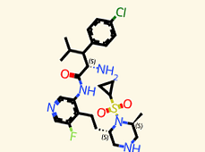 CC(C)C(c1ccc(Cl)cc1)[C@H](N)C(=O)Nc1cncc(F)c1CC[C@H]1CNC[C@H](C)N1S(=O)(=O)C1CC1